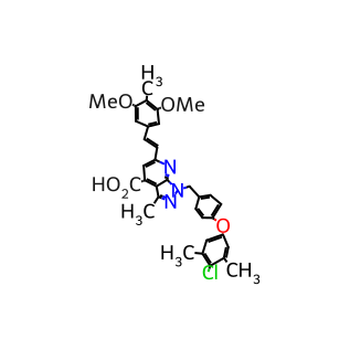 COc1cc(/C=C/c2cc(C(=O)O)c3c(C)nn(Cc4ccc(Oc5cc(C)c(Cl)c(C)c5)cc4)c3n2)cc(OC)c1C